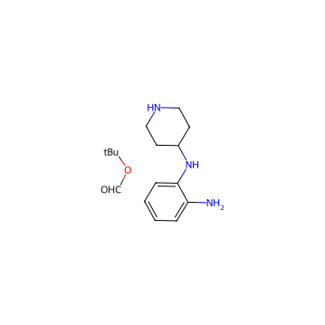 CC(C)(C)OC=O.Nc1ccccc1NC1CCNCC1